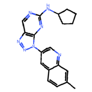 Cc1ccc2cc(-n3nnc4cnc(NC5CCCC5)nc43)cnc2c1